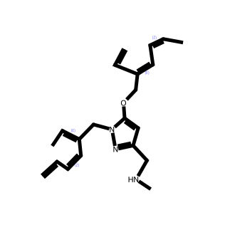 C=C/C=C\C(=C/C)Cn1nc(CNC)cc1OC/C(C=C)=C/C=C\C